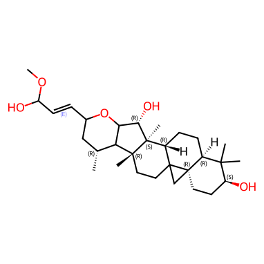 COC(O)/C=C/C1C[C@@H](C)C2C(O1)[C@H](O)[C@@]1(C)[C@@H]3CC[C@H]4C(C)(C)[C@@H](O)CC[C@@]45CC35CC[C@]21C